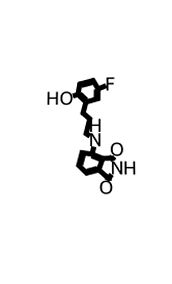 O=C1NC(=O)c2c(NCCCc3cc(F)ccc3O)cccc21